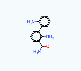 NC(=O)c1cccc(-c2ccccc2N)c1N